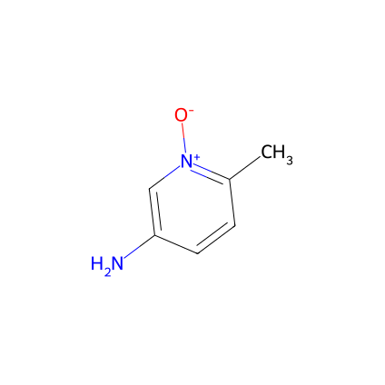 Cc1ccc(N)c[n+]1[O-]